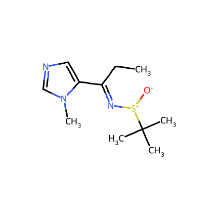 CC/C(=N\[S+]([O-])C(C)(C)C)c1cncn1C